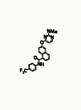 CNc1nccc(Oc2ccc3c(C(=O)Nc4ccc(C(F)(F)F)cc4)cccc3c2)n1